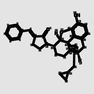 O=C1/C(=C/c2ccccc2)CCN1[C@@H]1CC[C@@]2(O)[C@H]3Cc4ccc(O)c5c4[C@@]2(CCN3CC2CC2)[C@H]1O5